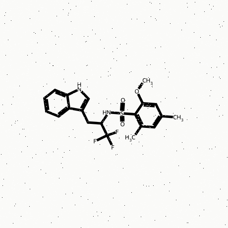 COc1cc(C)cc(C)c1S(=O)(=O)NC(Cc1c[nH]c2ccccc12)C(F)(F)F